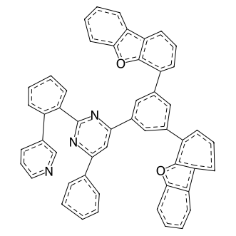 c1ccc(-c2cc(-c3cc(-c4cccc5c4oc4ccccc45)cc(-c4cccc5c4oc4ccccc45)c3)nc(-c3ccccc3-c3cccnc3)n2)cc1